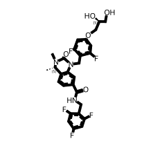 C[C@H]1c2ccc(C(=O)NCc3c(F)cc(F)cc3F)cc2N(Cc2c(F)cc(OC[C@@H](O)CO)cc2F)C(=O)N1C